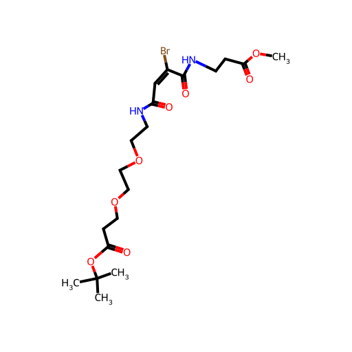 COC(=O)CCNC(=O)/C(Br)=C\C(=O)NCCOCCOCCC(=O)OC(C)(C)C